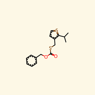 CC(C)c1sccc1CSC(=O)OCc1ccccc1